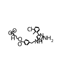 Cc1c(Cl)cccc1-c1cc(NCCc2ccc(C(=O)OCCC[SH](=O)=O)cc2)nc(N)n1